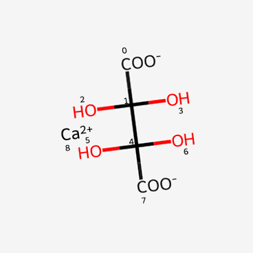 O=C([O-])C(O)(O)C(O)(O)C(=O)[O-].[Ca+2]